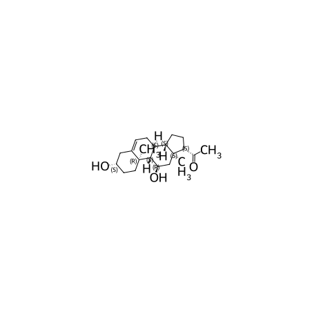 CC(=O)[C@H]1CC[C@H]2[C@@H]3CC=C4C[C@@H](O)CC[C@]4(C)[C@H]3[C@H](O)C[C@]12C